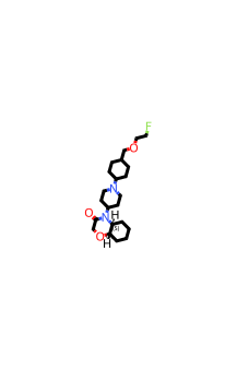 O=C1CO[C@H]2CCCC[C@@H]2N1C1CCN(C2CCC(COCCF)CC2)CC1